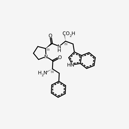 N[C@@H](Cc1ccccc1)C(=O)N1CCC[C@H]1C(=O)N[C@@H](Cc1c[nH]c2ccccc12)C(=O)O